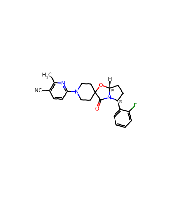 Cc1nc(N2CCC3(CC2)O[C@@H]2CC[C@@H](c4ccccc4F)N2C3=O)ccc1C#N